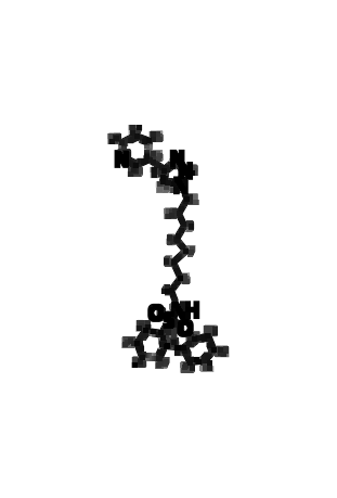 O=S(=O)(NCCCCCCCCn1cc(-c2cccnc2)nn1)c1ccccc1-c1ccccc1